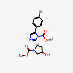 CC(C)(C)OC(=O)N1CC(O)C[C@H]1c1ncc(-c2ccc(Br)cc2)n1C(=O)OC(C)(C)C